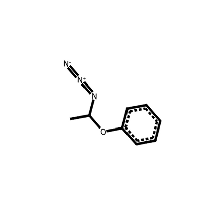 CC(N=[N+]=[N-])Oc1ccccc1